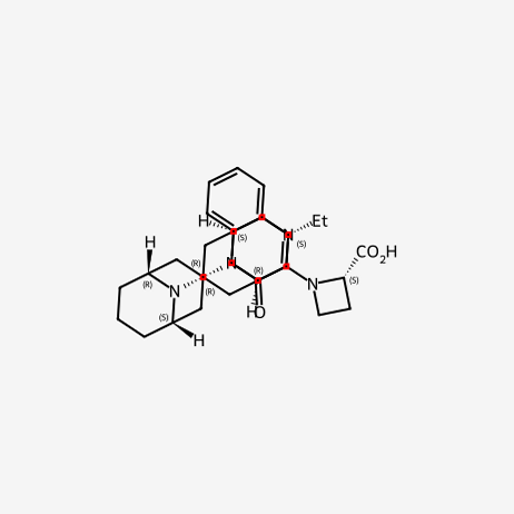 CC[C@@H]1C[C@@H]2C[C@H](C1)C[C@@H](N1[C@@H]3CCC[C@H]1C[C@@H](n1c(=O)c(N4CC[C@H]4C(=O)O)nc4ccccc41)C3)C2